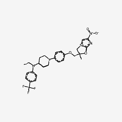 CCN(c1ccc(C(F)(F)F)cc1)C1CCN(c2ccc(OCC3(C)Cn4cc([N+](=O)[O-])nc4O3)cc2)CC1